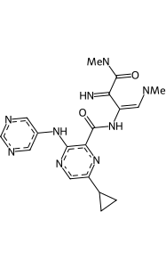 CN/C=C(/NC(=O)c1nc(C2CC2)cnc1Nc1cncnc1)C(=N)C(=O)NC